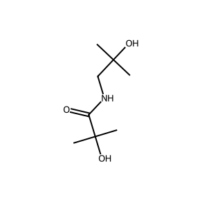 CC(C)(O)CNC(=O)C(C)(C)O